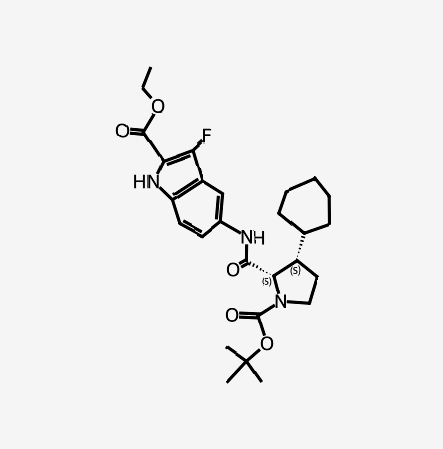 CCOC(=O)c1[nH]c2ccc(NC(=O)[C@@H]3[C@H](C4CCCCC4)CCN3C(=O)OC(C)(C)C)cc2c1F